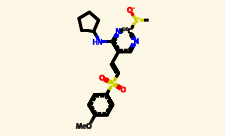 COc1ccc(S(=O)(=O)C=Cc2cn[14c]([S+](C)[O-])nc2NC2CCCC2)cc1